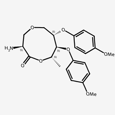 COc1ccc(O[C@H]2[C@H](C)OC(=O)[C@@H](N)COC[C@@H]2Oc2ccc(OC)cc2)cc1